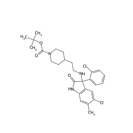 Cc1cc2c(cc1Cl)C(NCCC1CCN(C(=O)OC(C)(C)C)CC1)(c1ccccc1Cl)C(=O)N2